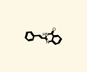 O=c1[nH]c(C=Cc2ccccc2)nc2ccccc12